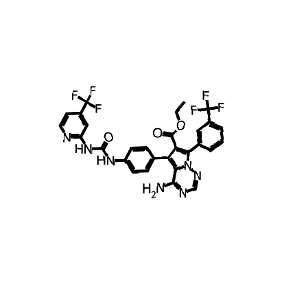 CCOC(=O)c1c(-c2ccc(NC(=O)Nc3cc(C(F)(F)F)ccn3)cc2)c2c(N)ncnn2c1-c1cccc(C(F)(F)F)c1